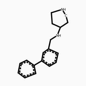 c1ccc(-c2cccc(CNC3CCNCC3)c2)cc1